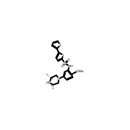 COc1ccc(N2C[C@@H](C)N[C@@H](C)C2)cc1NS(=O)(=O)c1ccc(-c2cccs2)s1